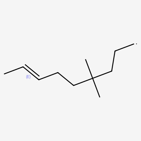 [CH2]CCC(C)(C)CC/C=C/C